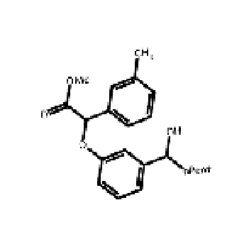 CCCCCC(O)c1cccc(OC(C(=O)OC)c2cccc(C)c2)c1